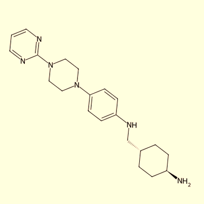 N[C@H]1CC[C@H](CNc2ccc(N3CCN(c4ncccn4)CC3)cc2)CC1